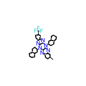 Cc1ccc2nc3c(nc2c1)N(c1ccc2ccccc2c1)c1nc2cc(C(F)(F)F)ccc2nc1N3c1ccc2ccccc2c1